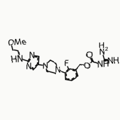 COCCNc1ncc(N2CCN(c3cccc(COC(=O)NC(=N)N)c3F)CC2)cn1